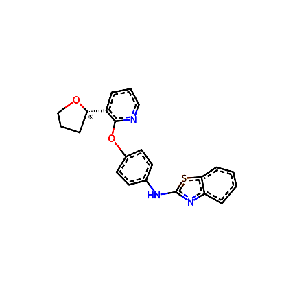 c1cnc(Oc2ccc(Nc3nc4ccccc4s3)cc2)c([C@@H]2CCCO2)c1